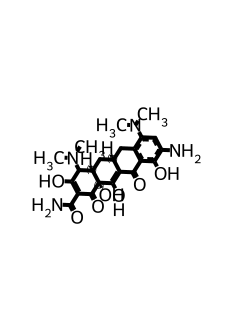 CN(C)c1cc(N)c(O)c2c1C[C@H]1C[C@H]3C(N(C)C)C(O)=C(C(N)=O)C(=O)[C@@]3(O)C(O)=C1C2=O